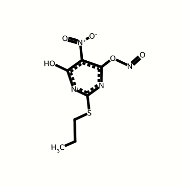 CCCSc1nc(O)c([N+](=O)[O-])c(ON=O)n1